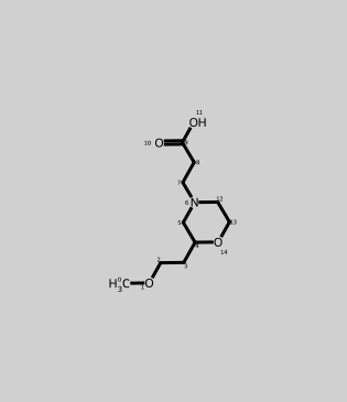 COCCC1CN(CCC(=O)O)CCO1